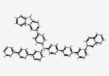 c1ccc(-c2ccc(-c3cccc(N(c4ccc(-c5ccc(-c6cccc(-c7ccc8ccccc8c7)c6)cc5)cc4)c4ccc(-c5ccc6oc7ccccc7c6c5)cc4)c3)cc2)cc1